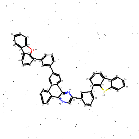 c1cc(-c2ccc3c(c2)c2ccccc2c2ncc(-c4cccc(-c5cccc6c5sc5ccccc56)c4)nc32)cc(-c2cccc3c2oc2ccccc23)c1